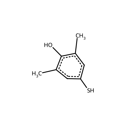 Cc1cc(S)cc(C)c1O